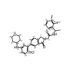 CC(NC(=O)CN1Cc2ccc(-c3nc(NC4CCOCC4)ncc3Cl)cc2C1=O)c1cccc(F)c1F